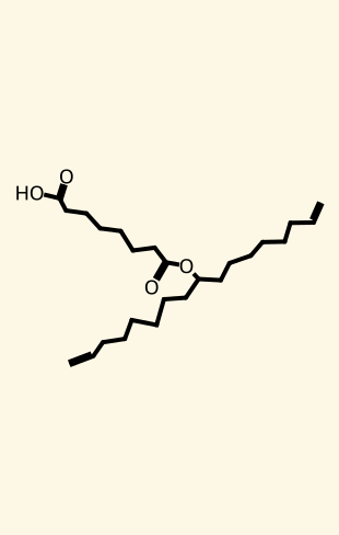 C=CCCCCCCC(CCCCCCC=C)OC(=O)CCCCCCC(=O)O